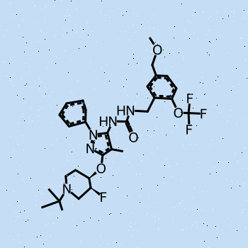 COCc1ccc(OC(F)(F)F)c(CNC(=O)Nc2c(C)c(O[C@@H]3CCN(C(C)(C)C)C[C@@H]3F)nn2-c2ccccc2)c1